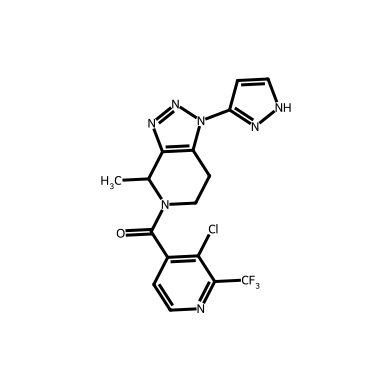 CC1c2nnn(-c3cc[nH]n3)c2CCN1C(=O)c1ccnc(C(F)(F)F)c1Cl